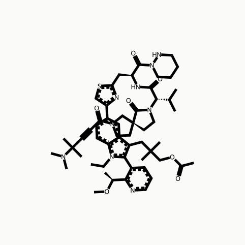 CCn1c(-c2cccnc2[C@H](C)OC)c(CC(C)(C)COC(C)=O)c2cc(-c3csc(C[C@H](NC(=O)[C@H](C(C)C)N4CC[C@]5(CCN(C(=O)C#CC(C)(C)N(C)C)C5)C4=O)C(=O)N4CCCCN4)n3)ccc21